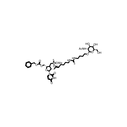 COP(O)(=S)CC1[C@@H](COC(=O)OCc2ccccc2)O[C@@H](n2ccc(=O)[nH]c2=O)[C@H]1C/C=C/CCCCNC(=S)NCCCCO[C@@H]1O[C@H](CO)[C@H](O)[C@H](O)[C@H]1NC(C)=O